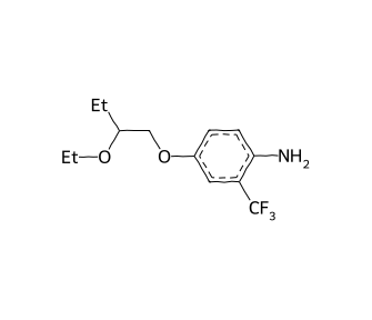 CCOC(CC)COc1ccc(N)c(C(F)(F)F)c1